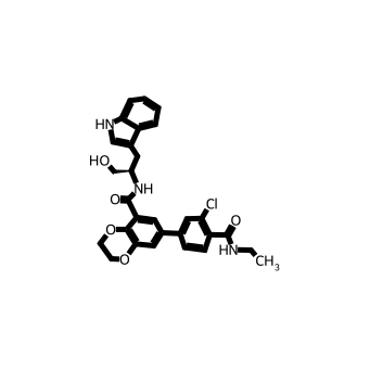 CCNC(=O)c1ccc(-c2cc3c(c(C(=O)N[C@@H](CO)Cc4c[nH]c5ccccc45)c2)OCCO3)cc1Cl